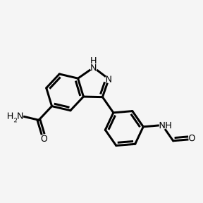 NC(=O)c1ccc2[nH]nc(-c3cccc(NC=O)c3)c2c1